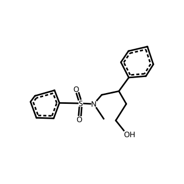 CN(CC(CCO)c1ccccc1)S(=O)(=O)c1ccccc1